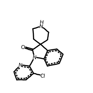 O=C1N(c2ncccc2Cl)c2ccccc2C12CCNCC2